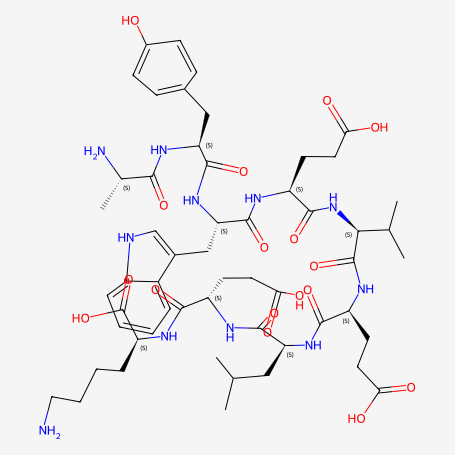 CC(C)C[C@H](NC(=O)[C@H](CCC(=O)O)NC(=O)[C@@H](NC(=O)[C@H](CCC(=O)O)NC(=O)[C@H](Cc1c[nH]c2ccccc12)NC(=O)[C@H](Cc1ccc(O)cc1)NC(=O)[C@H](C)N)C(C)C)C(=O)N[C@@H](CCC(=O)O)C(=O)N[C@@H](CCCCN)C(=O)O